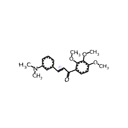 COc1ccc(C(=O)/C=C/c2cccc(N(C)C)c2)c(OC)c1OC